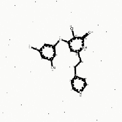 N#Cc1cc(Cl)cc(Oc2cc(CCc3ccncc3)[nH]c(=O)c2Cl)c1